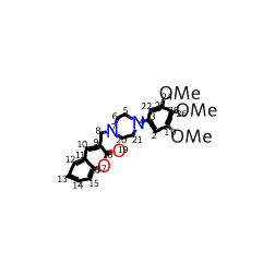 COc1cc(N2CCN(Cc3cc4ccccc4oc3=O)CC2)cc(OC)c1OC